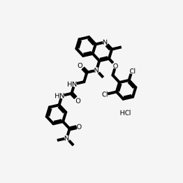 Cc1nc2ccccc2c(N(C)C(=O)CNC(=O)Nc2cccc(C(=O)N(C)C)c2)c1OCc1c(Cl)cccc1Cl.Cl